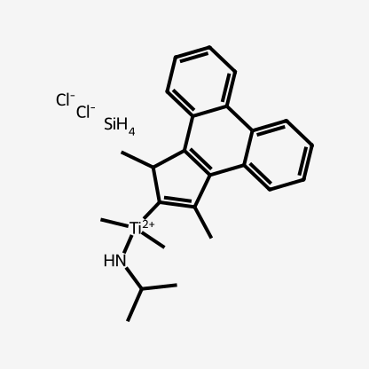 CC1=[C]([Ti+2]([CH3])([CH3])[NH]C(C)C)C(C)c2c1c1ccccc1c1ccccc21.[Cl-].[Cl-].[SiH4]